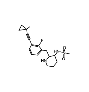 CC1(C#Cc2cccc(CC3NCCCC3NS(C)(=O)=O)c2F)CC1